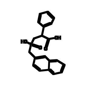 O=C(O)C(CP(=O)(O)Cc1ccc2ccccc2c1)c1ccccc1